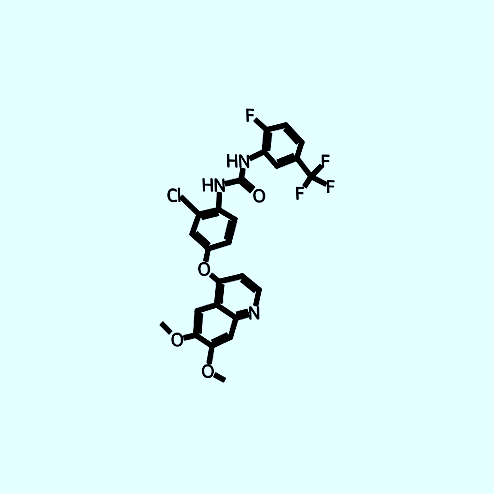 COc1cc2nccc(Oc3ccc(NC(=O)Nc4cc(C(F)(F)F)ccc4F)c(Cl)c3)c2cc1OC